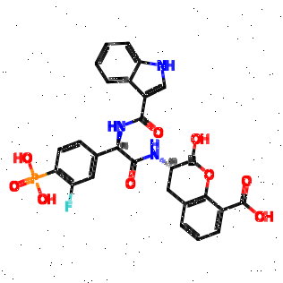 O=C(O)c1cccc2c1OB(O)[C@@H](NC(=O)[C@H](NC(=O)c1c[nH]c3ccccc13)c1ccc(P(=O)(O)O)c(F)c1)C2